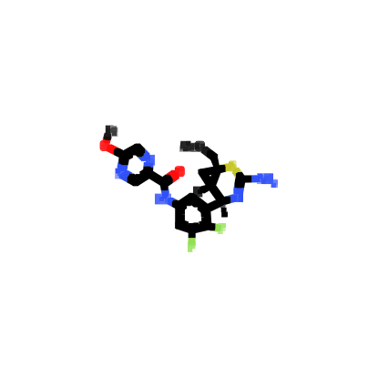 CCOc1cnc(C(=O)Nc2cc(F)c(F)c([C@]3(C)N=C(N)S[C@@]4(COC)C[C@H]43)c2)cn1